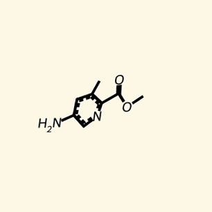 COC(=O)c1ncc(N)cc1C